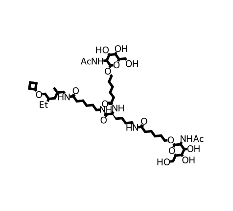 CCC(COC1CCC1)CC(C)CNC(=O)CCCCCNC(=O)[C@H](CCCCNC(=O)CCCCCOC1OC(CO)C(O)C(O)C1NC(C)=O)NC(=O)CCCCCOC1OC(CO)C(O)C(O)C1NC(C)=O